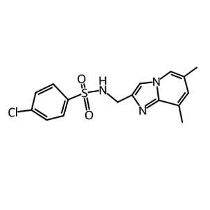 Cc1cc(C)c2nc(CNS(=O)(=O)c3ccc(Cl)cc3)cn2c1